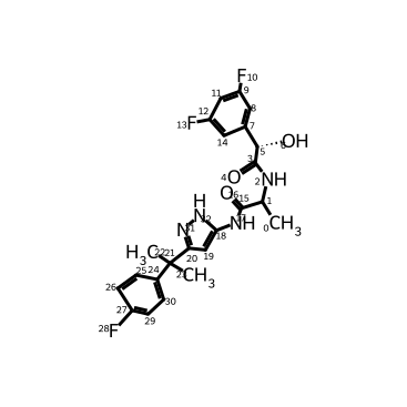 CC(NC(=O)[C@@H](O)c1cc(F)cc(F)c1)C(=O)Nc1cc(C(C)(C)c2ccc(F)cc2)n[nH]1